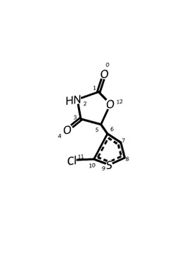 O=C1NC(=O)C(c2ccsc2Cl)O1